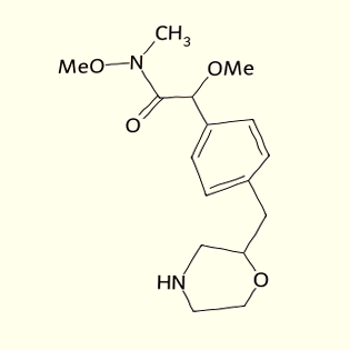 COC(C(=O)N(C)OC)c1ccc(CC2CNCCO2)cc1